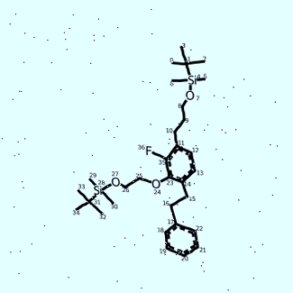 CC(C)(C)[Si](C)(C)OCCCc1ccc(CCc2ccccc2)c(OCCO[Si](C)(C)C(C)(C)C)c1F